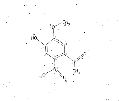 COc1cc(C(C)=O)c([N+](=O)[O-])cc1O